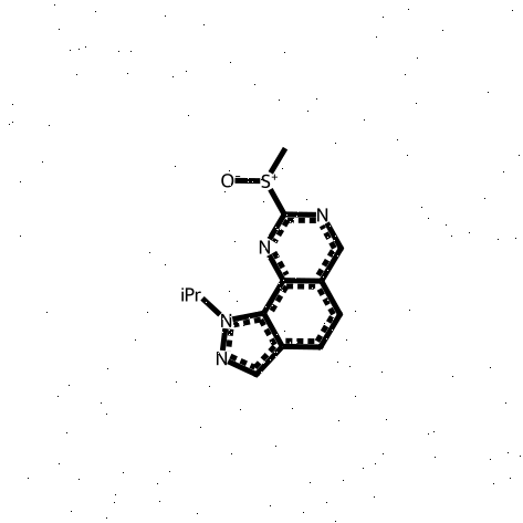 CC(C)n1ncc2ccc3cnc([S+](C)[O-])nc3c21